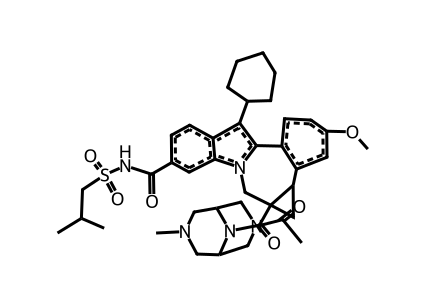 COc1ccc2c(c1)C1CC1(C(=O)N1C3CN(C)CC1CN(C(C)=O)C3)Cn1c-2c(C2CCCCC2)c2ccc(C(=O)NS(=O)(=O)CC(C)C)cc21